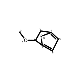 COC1Cc2ccc1s2